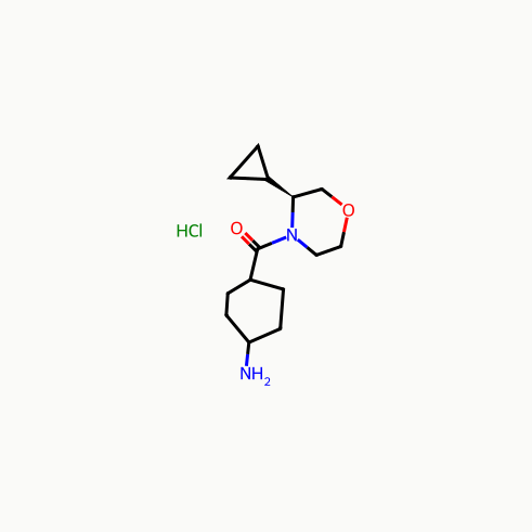 Cl.NC1CCC(C(=O)N2CCOC[C@@H]2C2CC2)CC1